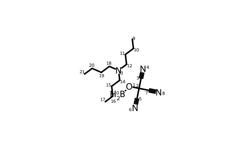 BOC(C#N)(C#N)C#N.CCCCN(CCCC)CCCC